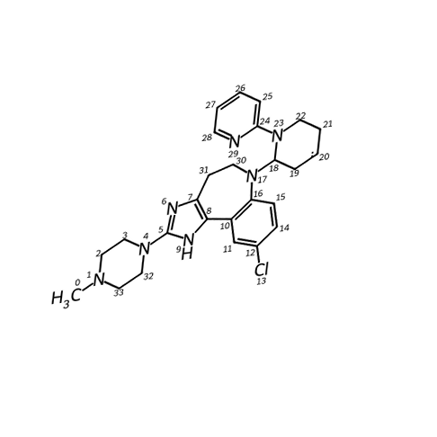 CN1CCN(c2nc3c([nH]2)-c2cc(Cl)ccc2N(C2C[C]CCN2c2ccccn2)CC3)CC1